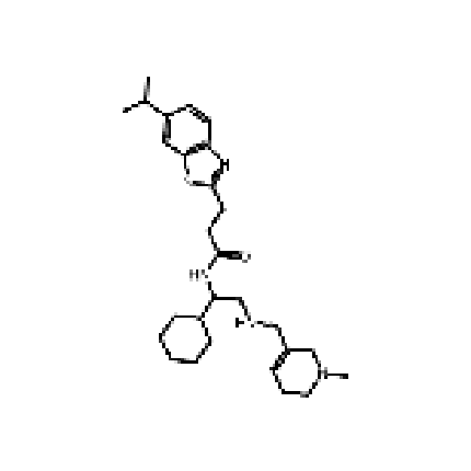 CC(C)c1ccc2nc(CCC(=O)NC(CNCC3=CCCN(C)C3)C3CCCCC3)sc2c1